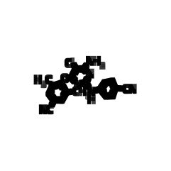 Cc1cc(C#N)cc(C)c1Oc1nc(Nc2ccc(C#N)cc2)nc(N)c1Cl